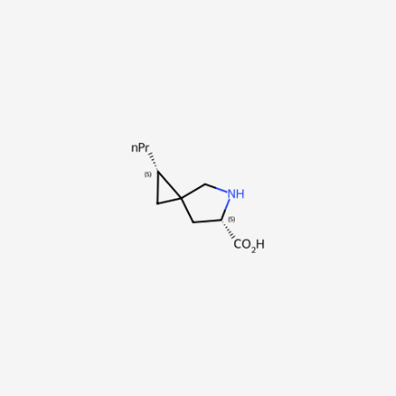 CCC[C@H]1CC12CN[C@H](C(=O)O)C2